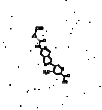 CCCC(=O)c1cc(C)c(-c2cc3cnc(NC(=O)[C@@H]4C[C@H]4C=O)cc3cn2)cn1